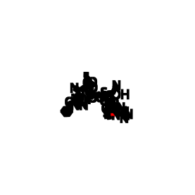 C=CCOP(=O)(OCCC#N)O[C@H]1[C@@H](F)[C@H](n2cnc3c(NC(=O)c4ccccc4)ncnc32)O[C@@H]1COP(=S)(OCCC#N)O[C@H]1C(O[Si](C)(C)C(C)(C)C)[C@H](n2cnc3c2ncn2ncnc32)O[C@@H]1CO